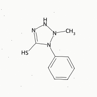 CN1NN=C(S)N1c1ccccc1